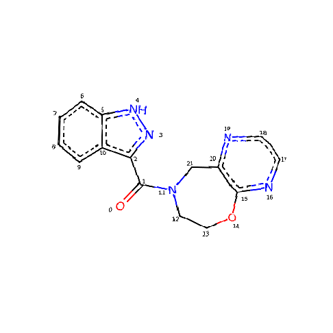 O=C(c1n[nH]c2ccccc12)N1CCOc2nccnc2C1